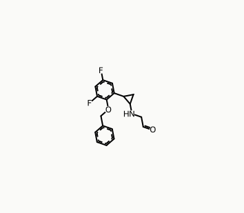 O=CCNC1CC1c1cc(F)cc(F)c1OCc1ccccc1